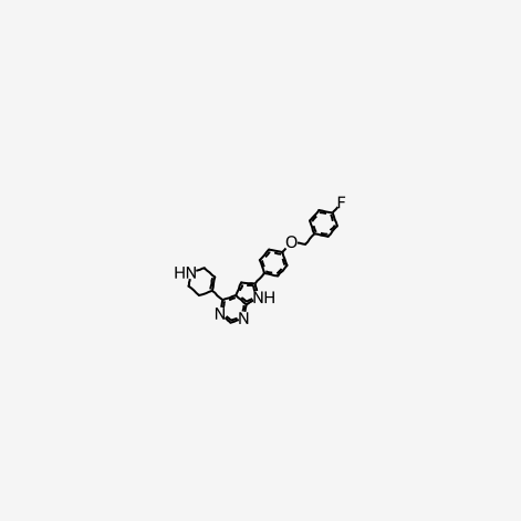 Fc1ccc(COc2ccc(-c3cc4c(C5=CCNCC5)ncnc4[nH]3)cc2)cc1